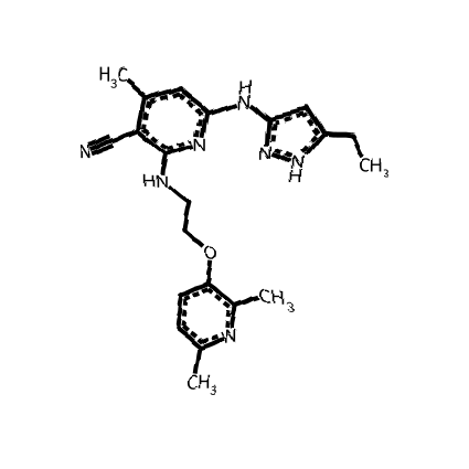 CCc1cc(Nc2cc(C)c(C#N)c(NCCOc3ccc(C)nc3C)n2)n[nH]1